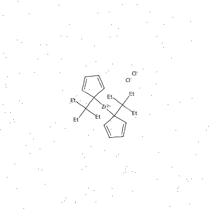 CCC(CC)(CC)[C]1([Zr+2][C]2(C(CC)(CC)CC)C=CC=C2)C=CC=C1.[Cl-].[Cl-]